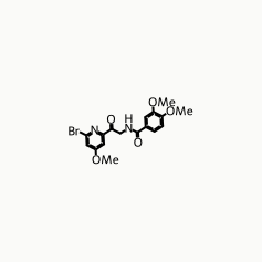 COc1cc(Br)nc(C(=O)CNC(=O)c2ccc(OC)c(OC)c2)c1